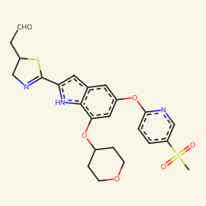 CS(=O)(=O)c1ccc(Oc2cc(OC3CCOCC3)c3[nH]c(C4=NCC(CC=O)S4)cc3c2)nc1